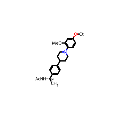 CCOc1ccc(N2CCC(c3ccc([C@H](C)NC(C)=O)cc3)CC2)c(OC)c1